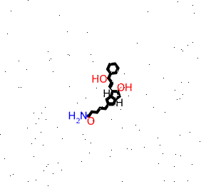 NC(=O)CCCCC1=C[C@H]2C[C@@H](O)[C@H](/C=C/[C@@H](O)C3CCCCC3)[C@H]2C1